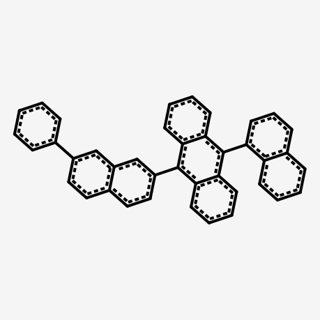 c1ccc(-c2ccc3ccc(-c4c5ccccc5c(-c5cccc6ccccc56)c5ccccc45)cc3c2)cc1